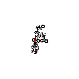 C[C@@H](OCC#CC#CCO[C@H](C)[C@H](NC(=O)[C@H](C)N(C)C(=O)OCC1c2ccccc2-c2ccccc21)C(=O)N1CCCC1Cn1nnnc1Sc1ccccc1)[C@H](NC(=O)[C@H](C)N(C)C(=O)OCC1c2ccccc2-c2ccccc21)C(=O)N1CCCC1